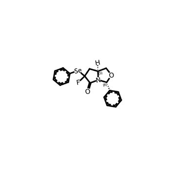 O=C1N2[C@H](CO[C@@H]2c2ccccc2)CC1(F)[Se]c1ccccc1